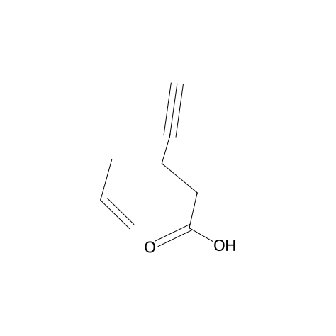 C#CCCC(=O)O.C=CC